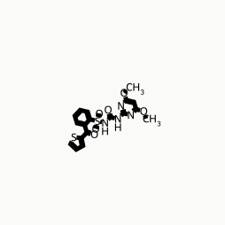 COc1cc(OC)nc(NC(=O)NS(=O)(=O)c2ccccc2C(=O)c2cccs2)n1